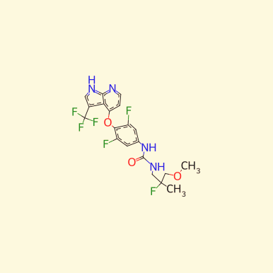 COCC(C)(F)CNC(=O)Nc1cc(F)c(Oc2ccnc3[nH]cc(C(F)(F)F)c23)c(F)c1